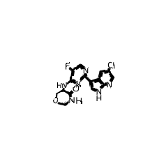 O=C1NCCOCC1Nc1nc(-c2c[nH]c3ncc(Cl)cc23)ncc1F